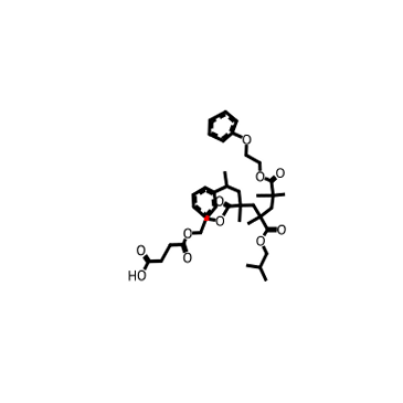 CC(C)COC(=O)C(C)(CC(C)(C)C(=O)OCCOc1ccccc1)CC(C)(CC(C)c1ccccc1)C(=O)OCCOC(=O)CCC(=O)O